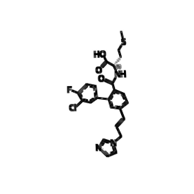 CSCC[C@H](NC(=O)c1ccc(C=CCn2ccnc2)cc1-c1ccc(F)c(Cl)c1)C(=O)O